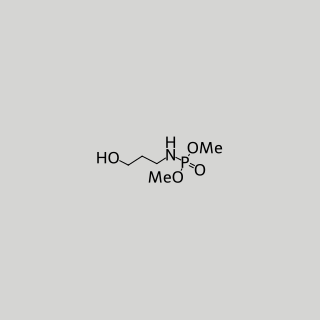 COP(=O)(NCCCO)OC